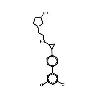 N[C@@H]1CCN(CCN[C@H]2CC2c2ccc(-c3cc(Cl)cc(Cl)c3)cc2)C1